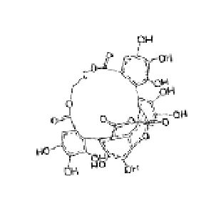 O=C1OCCOC(=O)c2cc(O)c(O)c(O)c2-c2c(O)c(O)c3oc(=O)c4c(c(O)c(O)c5oc(=O)c2c3c54)-c2c1cc(O)c(O)c2O